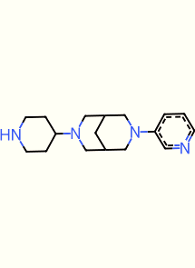 c1cncc(N2CC3CC(C2)CN(C2CCNCC2)C3)c1